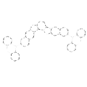 c1ccc2c(c1)Oc1ccccc1N2c1ccc2cc3c(cc2c1)oc1c3ccc2oc3cc4cc(N5c6ccccc6Oc6ccccc65)ccc4cc3c21